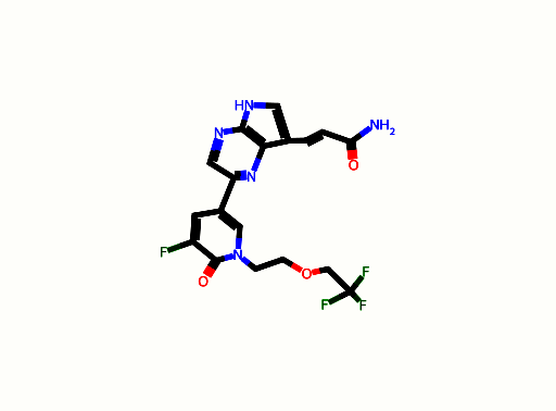 NC(=O)C=Cc1c[nH]c2ncc(-c3cc(F)c(=O)n(CCOCC(F)(F)F)c3)nc12